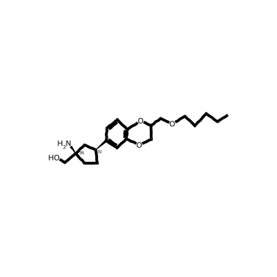 CCCCCOCC1COc2cc([C@H]3CC[C@](N)(CO)C3)ccc2O1